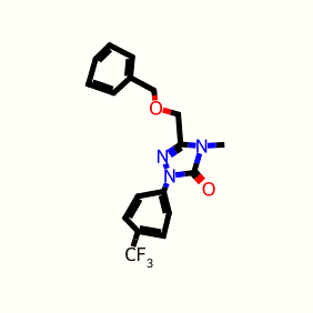 Cn1c(COCc2ccccc2)nn(-c2ccc(C(F)(F)F)cc2)c1=O